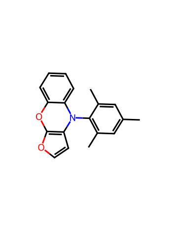 Cc1cc(C)c(N2c3ccccc3Oc3occc32)c(C)c1